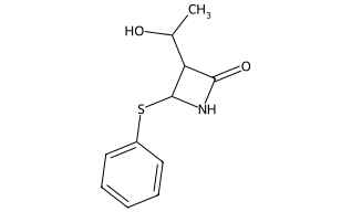 CC(O)C1C(=O)NC1Sc1ccccc1